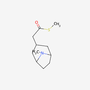 CSC(=O)CC1CC2CCC(C1)N2C